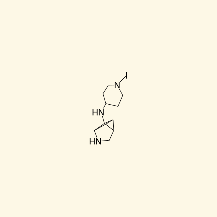 IN1CCC(NC23C4CNC2C43)CC1